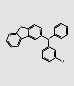 Clc1cccc(N(c2ccccc2)c2ccc3oc4ccccc4c3c2)c1